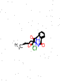 CCCCC1(C(=O)Cl)NC(=O)c2ccccc2C1=O